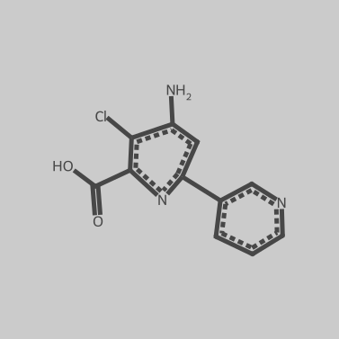 Nc1cc(-c2cccnc2)nc(C(=O)O)c1Cl